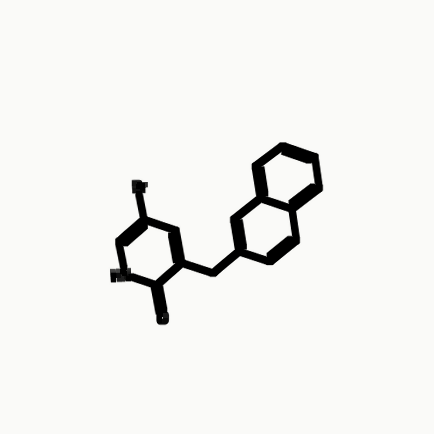 O=c1[nH]cc(Br)cc1Cc1ccc2ccccc2c1